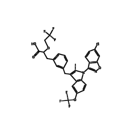 Cc1c(Cc2cccc(CC(OCC(F)(F)F)C(=O)O)c2)c2cc(OC(F)(F)F)ccc2n1-c1noc2cc(Cl)ccc12